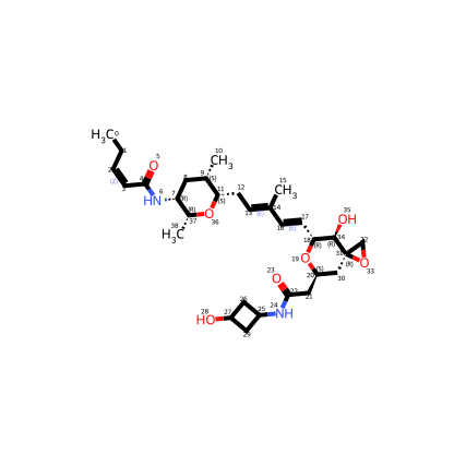 C[CH]/C=C\C(=O)N[C@@H]1C[C@H](C)[C@H](C/C=C(C)/C=C/[C@H]2O[C@H](CC(=O)NC3CC(O)C3)C[C@@]3(CO3)[C@@H]2O)O[C@@H]1C